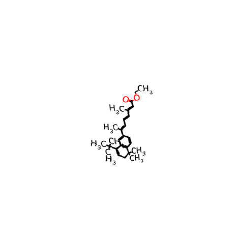 CCOC(=O)/C=C(C)/C=C/C=C(\C)c1ccc2c(c1)C(C(C)(C)C)=CCC2(C)C